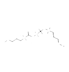 CCCOCCC[Si](C)(C)OC(C)(CC)[Si](C)(C)OC(C)[Si](C)(C)CCCOCC